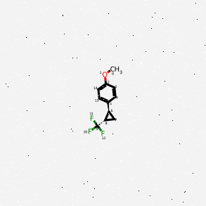 COc1ccc([C@H]2C[C@@H]2C(F)(F)F)cc1